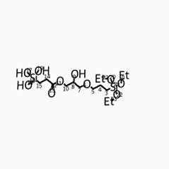 CCO[Si](CCCOCC(O)COC(=O)CC[Si](O)(O)O)(OCC)OCC